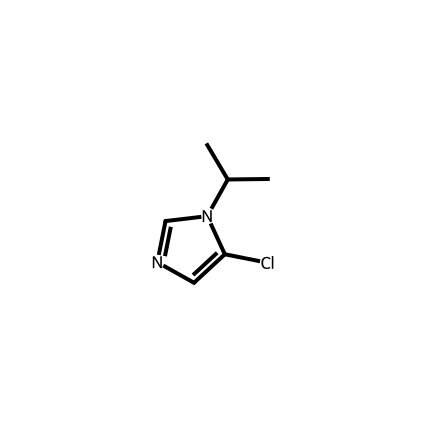 CC(C)n1cncc1Cl